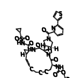 CC(C)(C)OC(=O)N[C@H]1CCCCC/C=C\[C@H]2C[C@@]2(C(=O)NS(=O)(=O)C2CC2)NC(=O)[C@@H]2[C@H]3CN(C(=O)c4cccc(-c5ccsc5)n4)C[C@H]3CN2C1=O